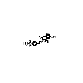 CCC1(C)c2cc(O)ccc2C[C@H](NC)[C@H]1NCCc1ccc(S(N)(=O)=O)cc1